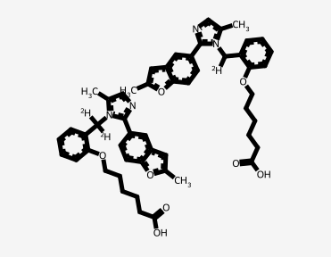 [2H]C([2H])(c1ccccc1OCCCCCC(=O)O)n1c(C)cnc1-c1ccc2oc(C)cc2c1.[2H]C(c1ccccc1OCCCCCC(=O)O)n1c(C)cnc1-c1ccc2oc(C)cc2c1